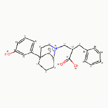 CC1C2CCCC1(c1cccc(O)c1)CCN2CC(Cc1ccccc1)C(=O)O